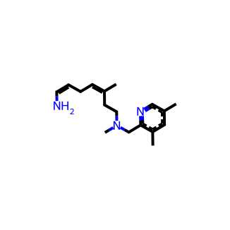 C/C(=C/C/C=C\N)CCN(C)Cc1ncc(C)cc1C